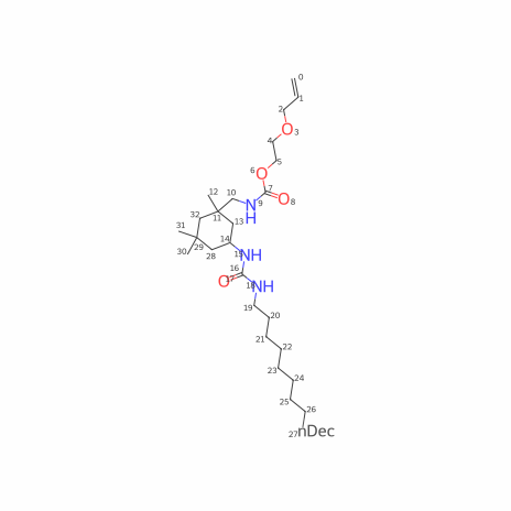 C=CCOCCOC(=O)NCC1(C)CC(NC(=O)NCCCCCCCCCCCCCCCCCC)CC(C)(C)C1